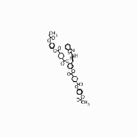 C=CC(=O)Oc1ccc(OC(=O)C2CCC(C(=O)Oc3ccc(OC(=O)C4CCC(C(=O)Oc5ccc(OC(C)=O)cc5)CC4)cc3/C=N/Nc3nc4ccccc4s3)CC2)cc1